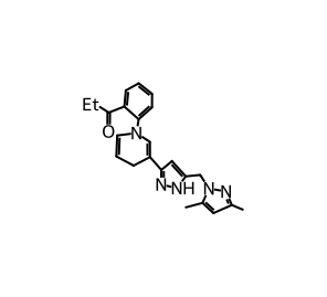 CCC(=O)c1ccccc1N1C=CCC(c2cc(Cn3nc(C)cc3C)[nH]n2)=C1